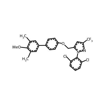 COc1c(C)cc(-c2ccc(OCc3cc(C(F)(F)F)nn3-c3c(Cl)cccc3Cl)cc2)cc1C